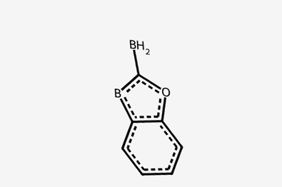 Bc1bc2ccccc2o1